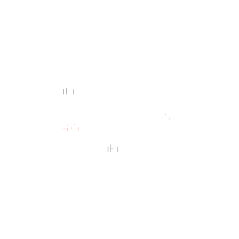 CC(C)c1cc(CC2CS2)cc(C(C)C)c1O